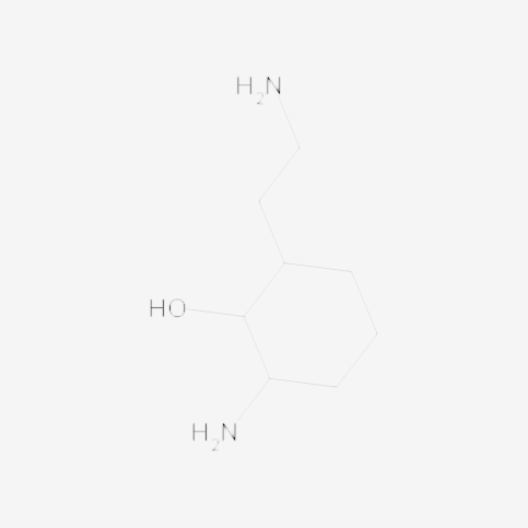 NCCC1CCCC(N)C1O